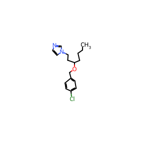 CCCCC(CCn1ccnc1)OCc1ccc(Cl)cc1